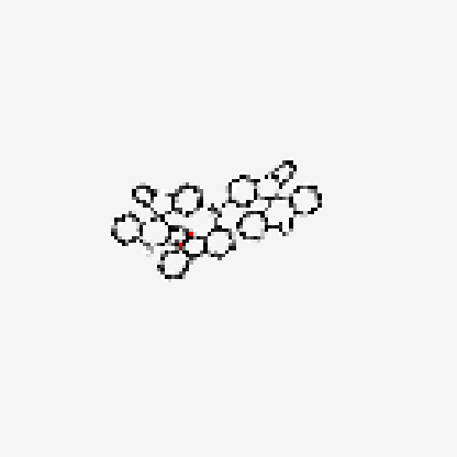 c1ccc2c(c1)Oc1ccccc1C21c2ccccc2-c2ccc(N(c3ccc4c(c3)C3(c5ccccc5Sc5ccccc53)c3ccccc3-4)c3cccc4c3sc3ccccc34)cc21